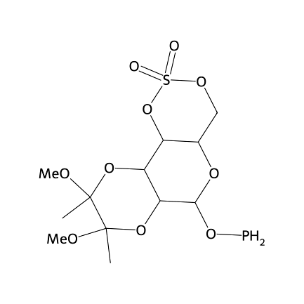 COC1(C)OC2C(OP)OC3COS(=O)(=O)OC3C2OC1(C)OC